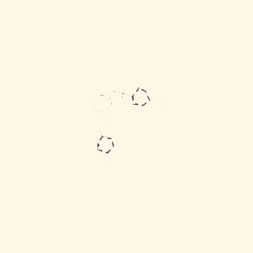 CC(C)(CN1CCC[C@@H](COc2ccc(C(F)(F)F)cc2)C1)c1ccc(Cl)cc1